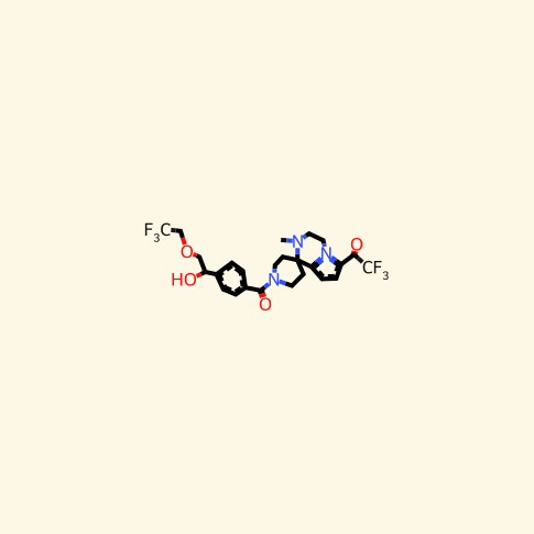 CN1CCn2c(C(=O)C(F)(F)F)ccc2C12CCN(C(=O)c1ccc(C(O)COCC(F)(F)F)cc1)CC2